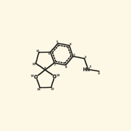 CNCc1ccc2c(c1)C1(CC2)OCCO1